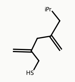 C=C(CS)CC(=C)CC(C)C